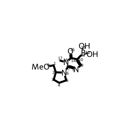 COCC1CCCN1c1ncc(B(O)O)c(=O)n1C